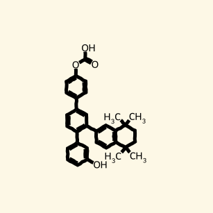 CC1(C)CCC(C)(C)c2cc(-c3cc(-c4ccc(OC(=O)O)cc4)ccc3-c3cccc(O)c3)ccc21